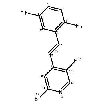 Fc1ccc(F)c(/C=C/c2cc(Br)ncc2F)c1